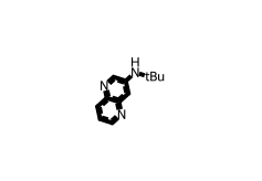 CC(C)(C)Nc1cnc2cccnc2c1